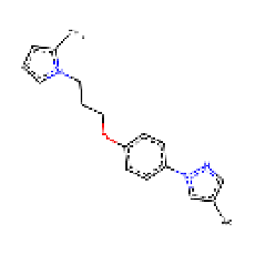 CC(=O)c1cnn(-c2ccc(OCCCn3cccc3C)cc2)c1